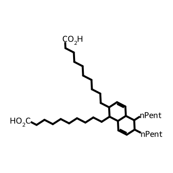 CCCCCC1C=CC2C(C=CC(CCCCCCCCCC(=O)O)C2CCCCCCCCCC(=O)O)C1CCCCC